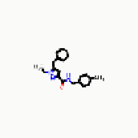 CCn1nc(C(=O)NCC2=CCC(C)C=C2)cc1CC1=CCCC=C1